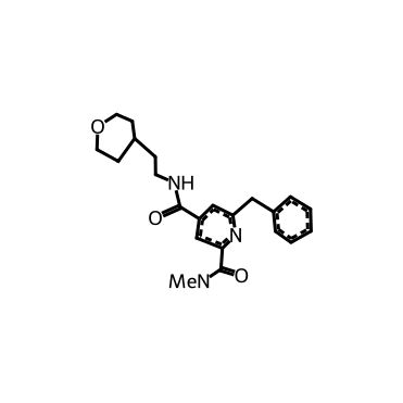 CNC(=O)c1cc(C(=O)NCCC2CCOCC2)cc(Cc2ccccc2)n1